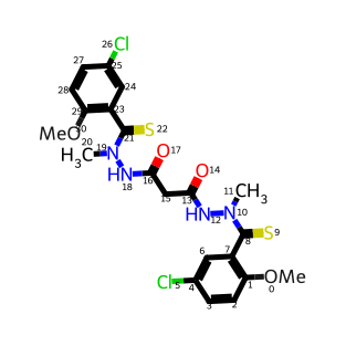 COc1ccc(Cl)cc1C(=S)N(C)NC(=O)CC(=O)NN(C)C(=S)c1cc(Cl)ccc1OC